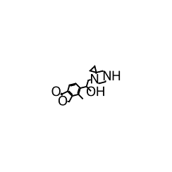 Cc1c(C(O)CN2CCNCC23CC3)ccc2c1COC2=O